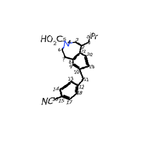 CC(C)CC1CN(C(=O)O)CCc2cc(Cc3ccc(C#N)cc3)ccc21